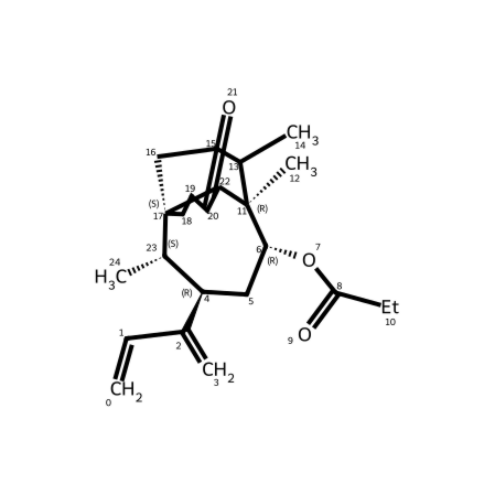 C=CC(=C)[C@@H]1C[C@@H](OC(=O)CC)[C@]2(C)C(C)CC[C@]3(CCC(=O)C32)[C@H]1C